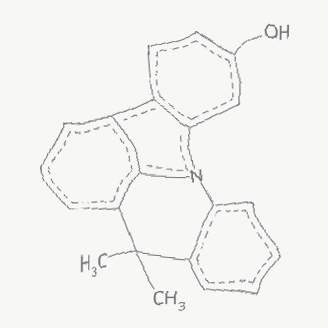 CC1(C)c2ccccc2-n2c3cc(O)ccc3c3cccc1c32